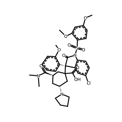 COc1ccc(S(=O)(=O)N2C(=O)[C@](c3ccccc3OC)(C3(C(=O)O)C[C@H](C(=O)N(C)C)C[C@@H](N4CCCC4)C3)c3cc(Cl)ccc32)c(OC)c1